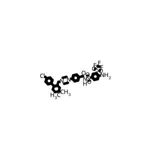 CC1(C)CCC(c2ccc(Cl)cc2)=C(CN2CCN(c3ccc(C(=O)NS(=O)(=O)c4ccc(N)c(S(=O)(=O)C(F)(F)F)c4)cc3)CC2)C1